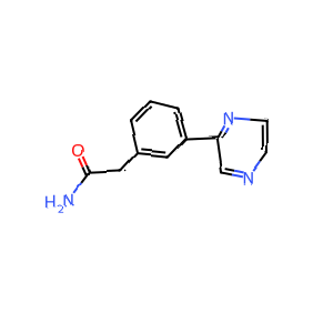 NC(=O)[CH]c1cccc(-c2cnccn2)c1